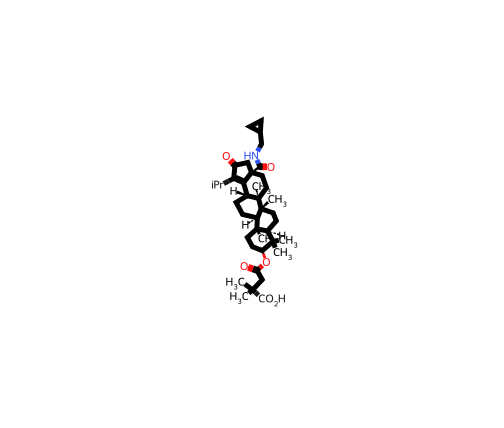 CC(C)C1=C2[C@H]3CC[C@@H]4[C@@]5(C)CC[C@H](OC(=O)CC(C)(C)C(=O)O)C(C)(C)[C@@H]5CC[C@@]4(C)[C@]3(C)CC[C@@]2(C(=O)NCC2CC2)CC1=O